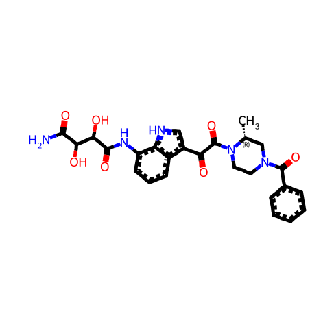 C[C@@H]1CN(C(=O)c2ccccc2)CCN1C(=O)C(=O)c1c[nH]c2c(NC(=O)C(O)C(O)C(N)=O)cccc12